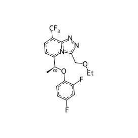 CCOCc1nnc2c(C(F)(F)F)ccc([C@H](C)Oc3ccc(F)cc3F)n12